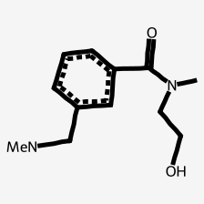 CNCc1cccc(C(=O)N(C)CCO)c1